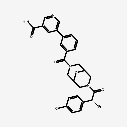 CC(C)[C@@H](C(=O)N1CC2CN(C(=O)c3cccc(-c4cncc(C(N)=O)c4)c3)CC(C1)O2)c1ccc(Cl)cc1